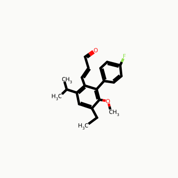 CCc1cc(C(C)C)c(C=CC=O)c(-c2ccc(F)cc2)c1OC